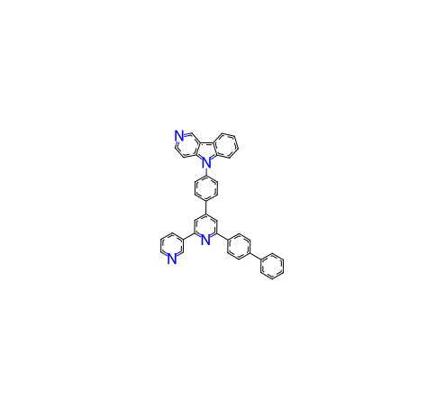 c1ccc(-c2ccc(-c3cc(-c4ccc(-n5c6ccccc6c6cnccc65)cc4)cc(-c4cccnc4)n3)cc2)cc1